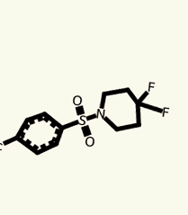 CC(=O)c1ccc(S(=O)(=O)N2CCC(F)(F)CC2)cc1